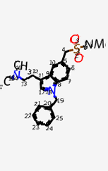 CNS(=O)(=O)Cc1ccc2c(c1)c(CCN(C)C)cn2Cc1ccccc1